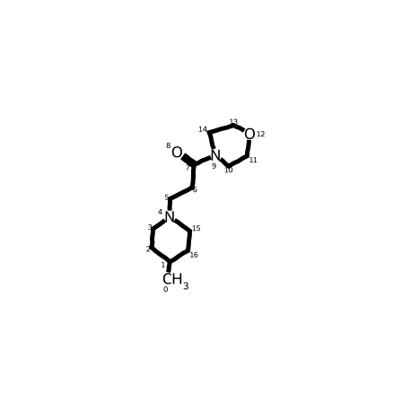 CC1CCN(CCC(=O)N2CCOCC2)CC1